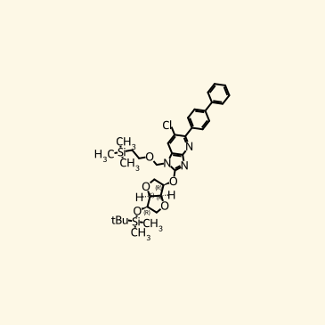 CC(C)(C)[Si](C)(C)O[C@@H]1CO[C@H]2[C@@H]1OC[C@H]2Oc1nc2nc(-c3ccc(-c4ccccc4)cc3)c(Cl)cc2n1COCC[Si](C)(C)C